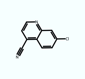 N#Cc1ccnc2cc(Cl)ccc12